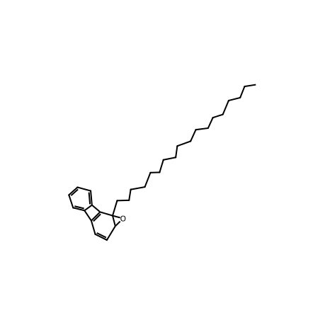 CCCCCCCCCCCCCCCCCCC12OC1C=CC1=C2c2ccccc21